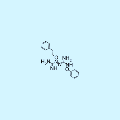 N=C(N)N(N=C(N)NOc1ccccc1)OCCc1ccccc1